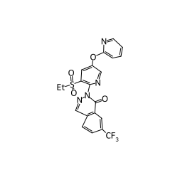 CCS(=O)(=O)c1cc(Oc2ccccn2)cnc1-n1ncc2ccc(C(F)(F)F)cc2c1=O